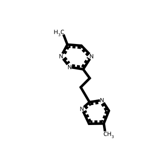 Cc1cnc(CCc2ncc(C)nn2)nc1